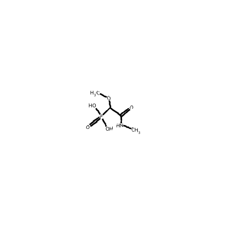 CNC(=O)C(OC)P(=O)(O)O